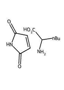 CCCCC(N)C(=O)O.O=C1C=CC(=O)N1